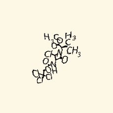 COC(=O)C(=C(C)C)N1C(=O)[C@H](NC(=O)OCC(Cl)(Cl)Cl)C1Cl